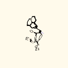 CCON=C1O/C(=C/c2cc3c4c(c2)CCCN4CCC3)C(=O)N1CC